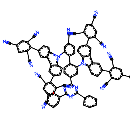 N#Cc1cc(C#N)c(-c2ccc3c(c2)c2cc(-c4c(C#N)cc(C#N)cc4C#N)ccc2n3-c2cc(C#N)ccc2-c2ccc(-c3nc(-c4ccccc4)nc(-c4ccccc4)n3)cc2-n2c3ccc(-c4c(C#N)cc(C#N)cc4C#N)cc3c3cc(-c4c(C#N)cc(C#N)cc4C#N)ccc32)c(C#N)c1